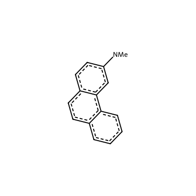 CNc1ccc2ccc3ccccc3c2c1